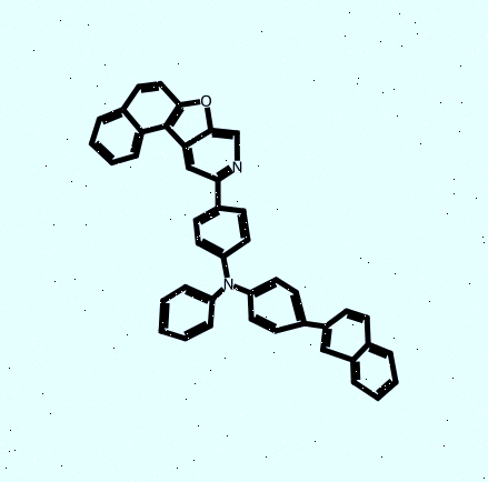 c1ccc(N(c2ccc(-c3ccc4ccccc4c3)cc2)c2ccc(-c3cc4c(cn3)oc3ccc5ccccc5c34)cc2)cc1